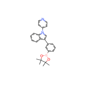 CC1(C)OB(c2cccc(-c3cn(-c4ccncc4)c4ccccc34)c2)OC1(C)C